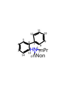 CCCCCCCCCNCCC.c1ccc(-c2ccccc2)cc1